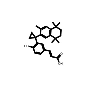 Cc1cc2c(cc1C1(c3cc(/C=C/C(=O)O)ccc3O)CC1)C(C)(C)CCC2(C)C